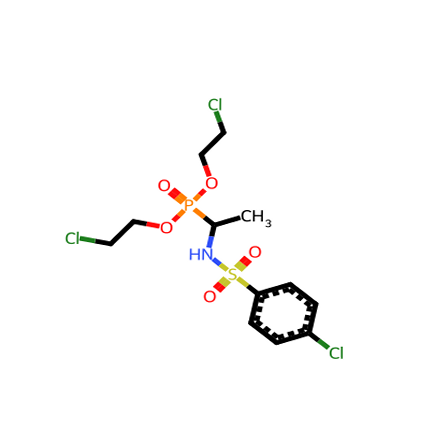 CC(NS(=O)(=O)c1ccc(Cl)cc1)P(=O)(OCCCl)OCCCl